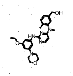 CCOc1cc(Nc2nccc(N(C)c3cc(CO)ccc3C)n2)cc(N2CCOCC2)c1